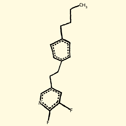 CCCCc1ccc(CCc2cnc(F)c(F)c2)cc1